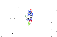 CN(c1cc(=O)n(C)c2ccc(Cl)nc12)C1CCC(/C(=N/OCC2CC2(F)F)c2ccccn2)CC1